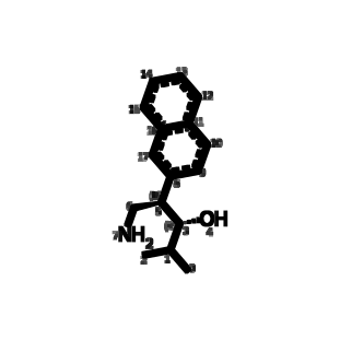 CC(C)[C@@H](O)[C@@H](CN)c1ccc2ccccc2c1